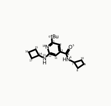 CC(C)(C)c1cc(C(=O)NC2CCC2)cc(NC2CCC2)n1